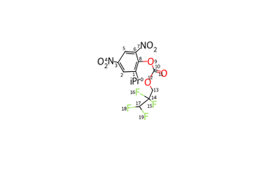 CC(C)c1cc([N+](=O)[O-])cc([N+](=O)[O-])c1OC(=O)OCC(F)(F)C(F)F